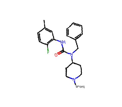 CCCC(C)N1CCC(N(Cc2ccccc2)C(=O)Nc2cc(C)ccc2F)CC1